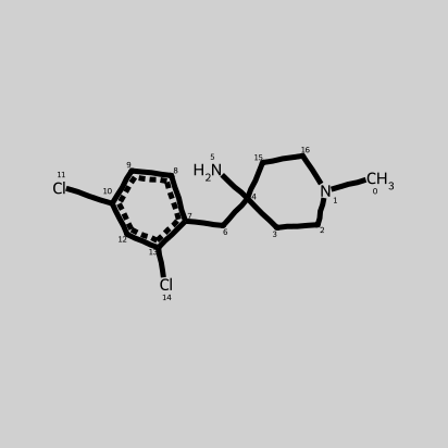 CN1CCC(N)(Cc2ccc(Cl)cc2Cl)CC1